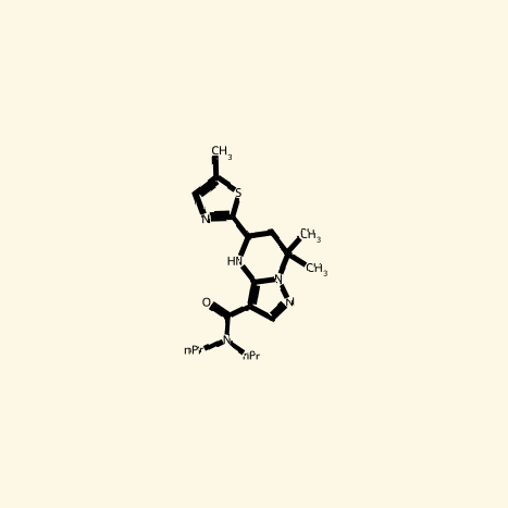 CCCN(CCC)C(=O)c1cnn2c1NC(c1ncc(C)s1)CC2(C)C